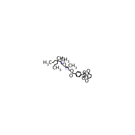 CCCC(C)(CCC)/C(C)=C/O/C=C(\C)COC(=O)c1ccc(S(=O)(=O)N2C(=O)CCC2=O)cc1